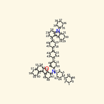 c1ccc(-c2ccc(N(c3ccc(-c4ccc(-c5ccc(-c6cccc7c6c6ccccc6n7-c6ccccc6)cc5)cc4)cc3)c3cccc4c3oc3ccc5ccccc5c34)cc2)cc1